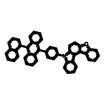 c1ccc2c(-c3c4ccccc4c(-c4ccc(-n5c6ccccc6c6c7c(ccc65)oc5ccccc57)cc4)c4ccccc34)cccc2c1